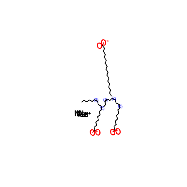 CC/C=C\C/C=C\C/C=C\CCCCCCCC(=O)[O-].CCCCC/C=C\C/C=C\CCCCCCCC(=O)[O-].CCCCCCCCCCCCCCCCCC(=O)[O-].[Na+].[Na+].[Na+]